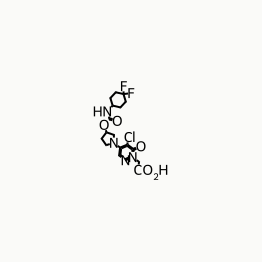 O=C(O)Cn1ncc(N2CCC(OC(=O)NC3CCC(F)(F)CC3)C2)c(Cl)c1=O